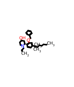 C=CCN1CC[C@H](O)C[C@@H]1c1ccc(C(C)(C)CCCCCC)cc1OCc1ccccc1